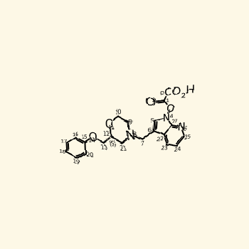 O=C(O)C(=O)On1cc(CN2CCO[C@H](COc3ccccc3)C2)c2cccnc21